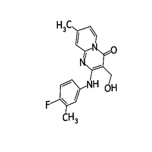 Cc1ccn2c(=O)c(CO)c(Nc3ccc(F)c(C)c3)nc2c1